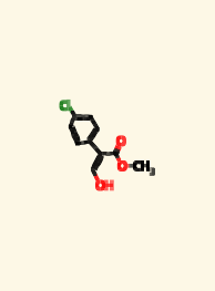 COC(=O)C(=CO)c1ccc(Cl)cc1